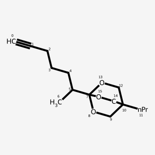 C#CCCCC(C)C12OCC(CCC)(CO1)CO2